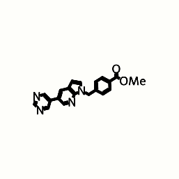 COC(=O)c1ccc(Cn2ccc3cc(-c4cncnc4)cnc32)cc1